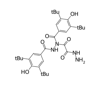 CC(C)(C)c1cc(C(=O)NN(C(=O)C(=O)NN)C(=O)c2cc(C(C)(C)C)c(O)c(C(C)(C)C)c2)cc(C(C)(C)C)c1O